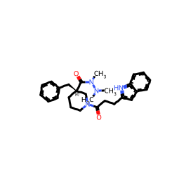 CN(C)N(C)C(=O)[C@@]1(Cc2ccccc2)CCCN(C(=O)CCc2cc3ccccc3[nH]2)C1